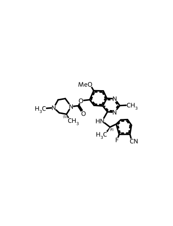 COc1cc2nc(C)nc(N[C@H](C)c3cccc(C#N)c3F)c2cc1OC(=O)N1CCN(C)C[C@@H]1C